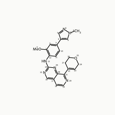 COc1cc(-c2cnn(C)c2)ccc1Nc1ncc2ccnc(C3=CCOCC3)c2n1